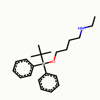 CCNCCCCO[Si](c1ccccc1)(c1ccccc1)C(C)(C)C